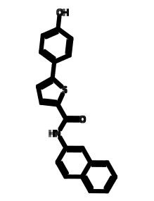 O=C(Nc1ccc2ccccc2c1)c1ccc(-c2ccc(O)cc2)s1